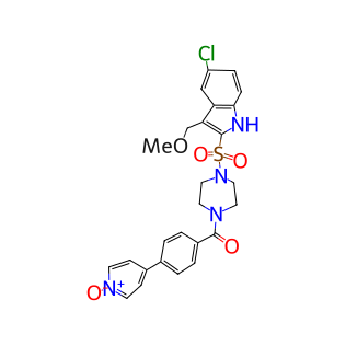 COCc1c(S(=O)(=O)N2CCN(C(=O)c3ccc(-c4cc[n+]([O-])cc4)cc3)CC2)[nH]c2ccc(Cl)cc12